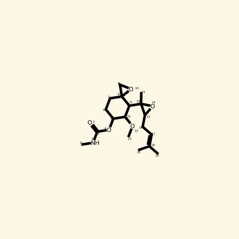 CNC(=O)OC1CCC2(CO2)C(C2(C)OC2CC=C(C)C)C1OC